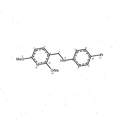 COc1ccc(CNc2ccc(C(C)C)cc2)c(OC)n1